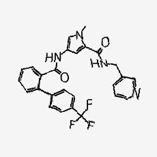 Cn1cc(NC(=O)c2ccccc2-c2ccc(C(F)(F)F)cc2)cc1C(=O)NCc1cccnc1